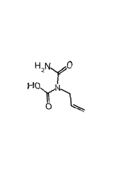 C=CCN(C(N)=O)C(=O)O